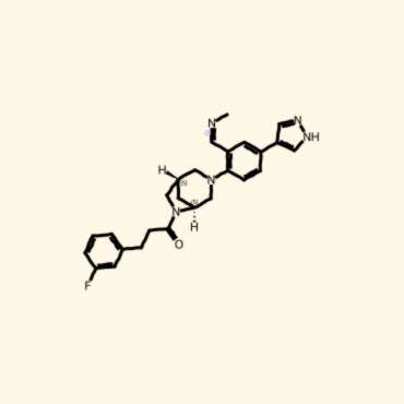 C/N=C\c1cc(-c2cn[nH]c2)ccc1N1C[C@@H]2C[C@@H](C1)N(C(=O)CCc1cccc(F)c1)C2